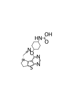 N#CC[C@H]1CCc2sc3ncnc(OC4CCC(NC(=O)O)CC4)c3c21